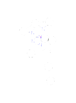 C1=CC(c2ccc(-c3ccccc3)cc2)CC=C1c1ccc(-n2c3ccccc3c3ccc4c5ccccc5n(-c5nc(-c6ccccc6)nc(-c6ccccc6)n5)c4c32)cc1